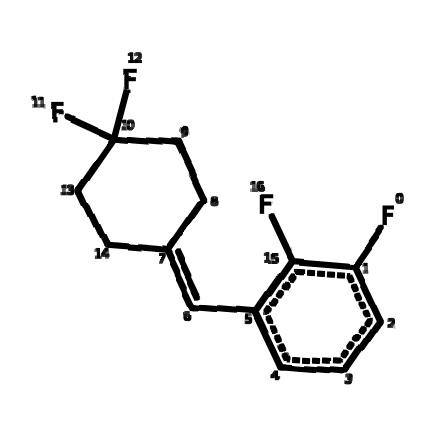 Fc1cccc(C=C2CCC(F)(F)CC2)c1F